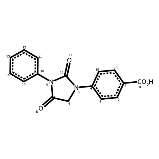 O=C(O)c1ccc(N2CC(=O)N(c3ccccc3)C2=O)cc1